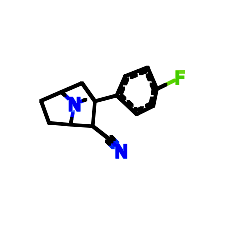 CN1C2CCC1C(C#N)C(c1ccc(F)cc1)C2